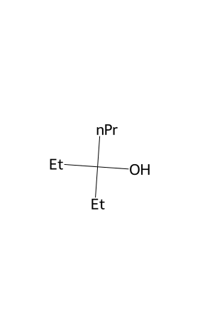 [CH2]CCC(O)(CC)CC